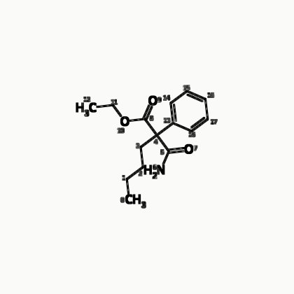 CCCCC(C(N)=O)(C(=O)OCC)c1ccccc1